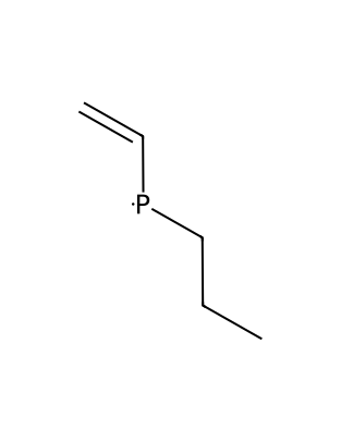 C=C[P]CCC